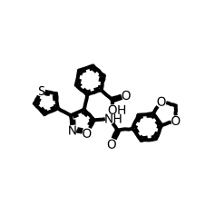 O=C(Nc1onc(-c2ccsc2)c1-c1ccccc1C(=O)O)c1ccc2c(c1)OCO2